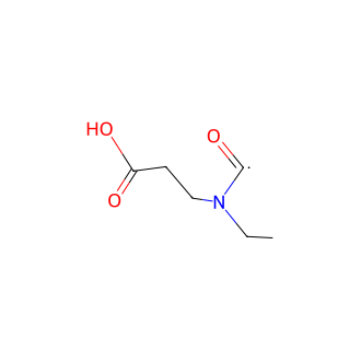 CCN([C]=O)CCC(=O)O